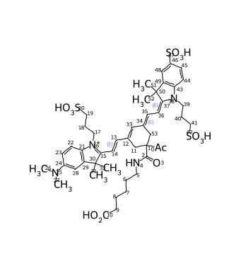 CC(=O)C1(C(=O)NCCCCCC(=O)O)CC(/C=C/C2=[N+](CCCS(=O)(=O)O)c3ccc(N(C)C)cc3C2(C)C)=CC(=C/C=C2/N(CCCS(=O)(=O)O)c3ccc(S(=O)(=O)O)cc3C2(C)C)/C1